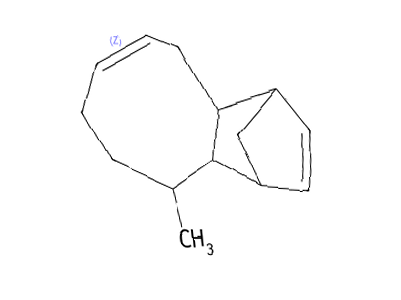 CC1CC/C=C\CC2C3C=CC(C3)C12